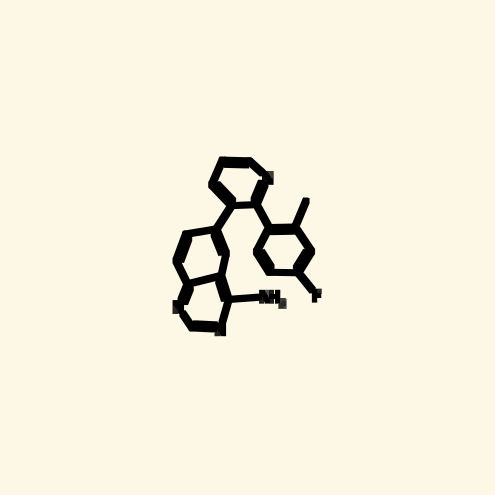 Cc1cc(F)ccc1-c1ncccc1-c1ccc2ncnc(N)c2c1